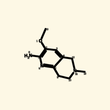 COc1cc2c(nc1N)CCN(C)C2